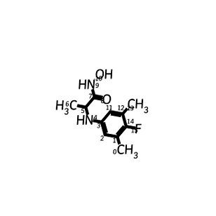 Cc1cc(NC(C)C(=O)NO)cc(C)c1F